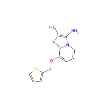 Cc1nc2c(OCc3cccs3)cccn2c1N